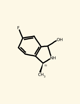 C[C@@H]1NC(O)c2cc(F)ccc21